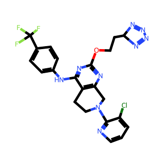 FC(F)(F)c1ccc(Nc2nc(OCCC3N=NN=N3)nc3c2CCN(c2ncccc2Cl)C3)cc1